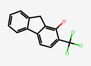 [O]c1c(C(Cl)(Cl)Cl)ccc2c1Cc1ccccc1-2